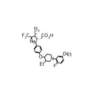 CCOc1ccc(F)c(N2CCC(Oc3ccc(N4N=C(C(F)(F)F)[C@@H](C)[C@@H]4CC(=O)O)cc3)C(CC)C2)c1